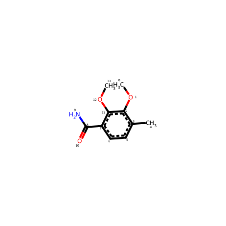 COc1c(C)ccc(C(N)=O)c1OC